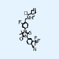 CC1(C)C(=O)N(c2ccc(C#N)c(C(F)(F)F)c2)C(=S)N1c1ccc(CNC(=O)c2cncs2)c(F)c1